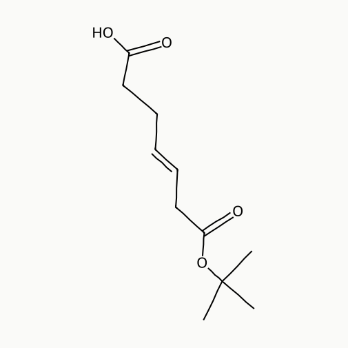 CC(C)(C)OC(=O)CC=CCCC(=O)O